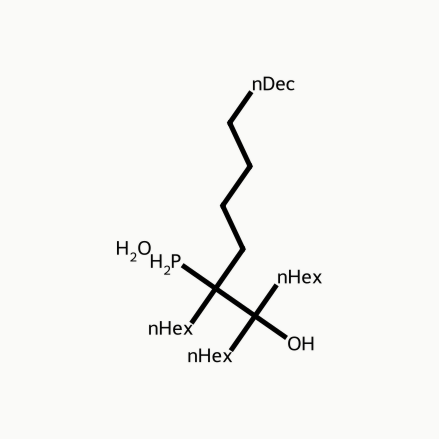 CCCCCCCCCCCCCCC(P)(CCCCCC)C(O)(CCCCCC)CCCCCC.O